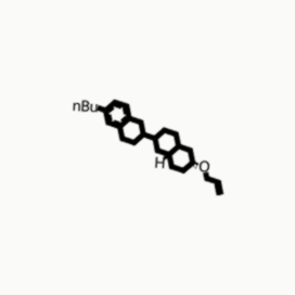 C=CCO[C@@H]1CC[C@@H]2CC(C3CCc4cc(CCCC)ccc4C3)CCC2C1